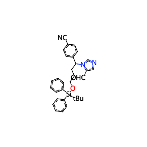 CC(C)(C)[Si](OCCCC(c1ccc(C#N)cc1)n1cncc1C=O)(c1ccccc1)c1ccccc1